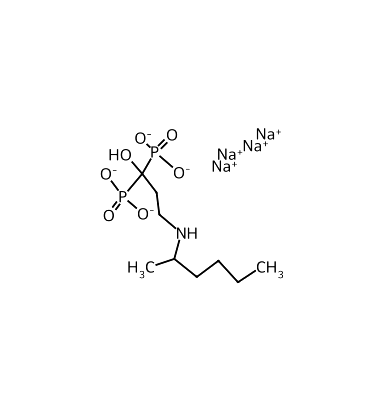 CCCCC(C)NCCC(O)(P(=O)([O-])[O-])P(=O)([O-])[O-].[Na+].[Na+].[Na+].[Na+]